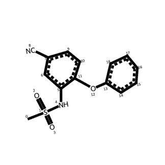 CS(=O)(=O)Nc1cc(C#N)ccc1Oc1ccccc1